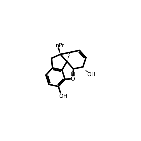 CCC[C@]12Cc3ccc(O)c4c3[C@@]13C2C=C[C@H](O)[C@@H]3O4